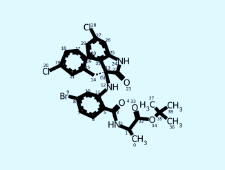 CC(NC(=O)c1ccc(Br)cc1N[C@]1(Cc2cccc(Cl)c2)C(=O)Nc2cc(Cl)ccc21)C(=O)OC(C)(C)C